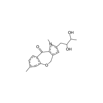 Cc1ccc2c(c1)OCc1cc(CC(O)C(C)O)n(C)c1C2=O